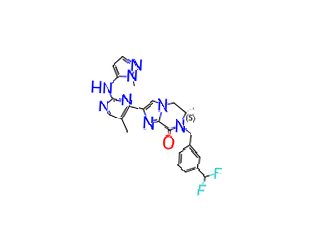 Cc1cnc(Nc2ccnn2C)nc1-c1cn2c(n1)C(=O)N(Cc1cccc(C(F)F)c1)[C@@H](C)C2